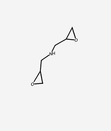 C(NCC1CO1)C1CO1